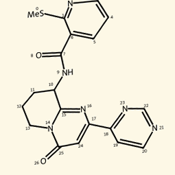 CSc1ncccc1C(=O)NC1CCCn2c1nc(-c1ccncn1)cc2=O